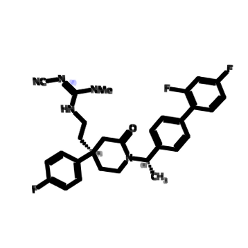 CN/C(=N/C#N)NCC[C@@]1(c2ccc(F)cc2)CCN([C@@H](C)c2ccc(-c3ccc(F)cc3F)cc2)C(=O)C1